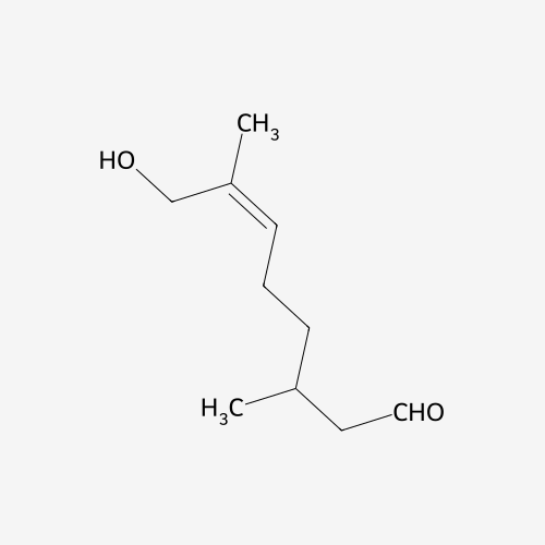 CC(=CCCC(C)CC=O)CO